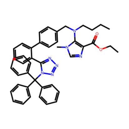 CCCCN(Cc1ccc(-c2ccccc2-c2nnnn2C(c2ccccc2)(c2ccccc2)c2ccccc2)cc1)c1c(C(=O)OCC)ncn1C